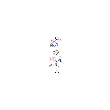 CCCN(CC1CC1)C(O)N(C)Cc1ccc(-c2noc(C(F)(F)F)n2)s1